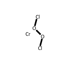 ClOOCl.[Cr]